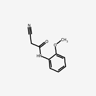 COc1ccccc1NC(=O)CC#N